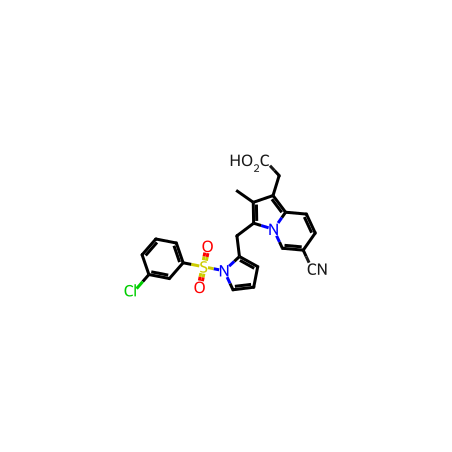 Cc1c(CC(=O)O)c2ccc(C#N)cn2c1Cc1cccn1S(=O)(=O)c1cccc(Cl)c1